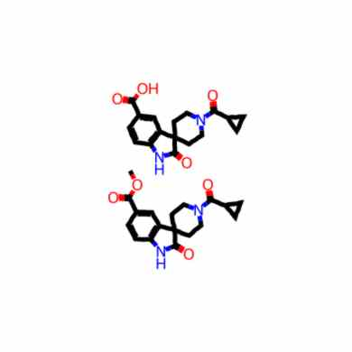 COC(=O)c1ccc2c(c1)C1(CCN(C(=O)C3CC3)CC1)C(=O)N2.O=C(O)c1ccc2c(c1)C1(CCN(C(=O)C3CC3)CC1)C(=O)N2